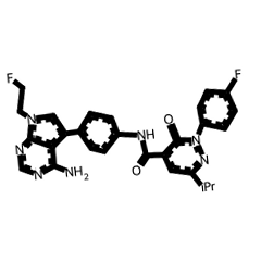 CC(C)c1cc(C(=O)Nc2ccc(-c3cn(CCF)c4ncnc(N)c34)cc2)c(=O)n(-c2ccc(F)cc2)n1